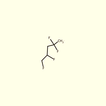 [CH2]C(F)(F)CC(F)CF